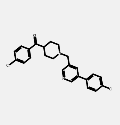 O=C(c1ccc(Cl)cc1)C1CCN(Cc2cncc(-c3ccc(Cl)cc3)c2)CC1